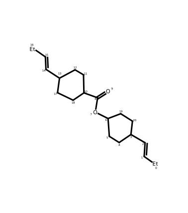 CCC=CC1CCC(OC(=O)C2CCC(C=CCC)CC2)CC1